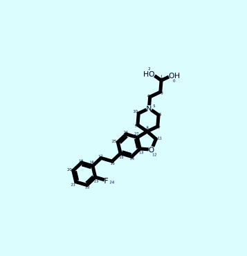 OC(O)CCN1CCC2(CC1)COc1cc(CCc3ccccc3F)ccc12